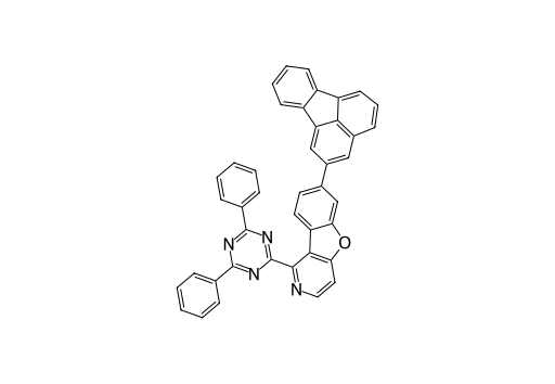 c1ccc(-c2nc(-c3ccccc3)nc(-c3nccc4oc5cc(-c6cc7c8c(cccc8c6)-c6ccccc6-7)ccc5c34)n2)cc1